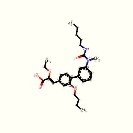 CCCCCNC(=O)N(C)c1cccc(-c2ccc(C=C(OCC)C(=O)O)cc2OCCCC)c1